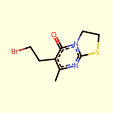 Cc1nc2n(c(=O)c1CCBr)CCS2